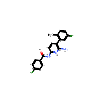 Cc1ccc(Cl)cc1-c1ccc(NC(=O)c2ccc(Cl)cc2)nc1N